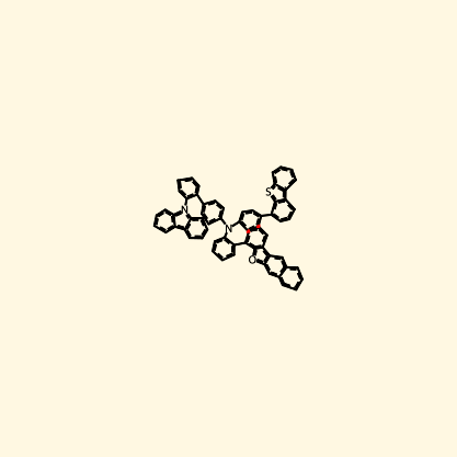 c1ccc(N(c2ccc(-c3ccccc3-n3c4ccccc4c4ccccc43)cc2)c2ccc(-c3cccc4c3sc3ccccc34)cc2)c(-c2cccc3c2oc2cc4ccccc4cc23)c1